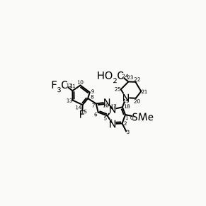 CSc1c(C)nc2cc(-c3ccc(C(F)(F)F)cc3F)nn2c1N1CCCC(C(=O)O)C1